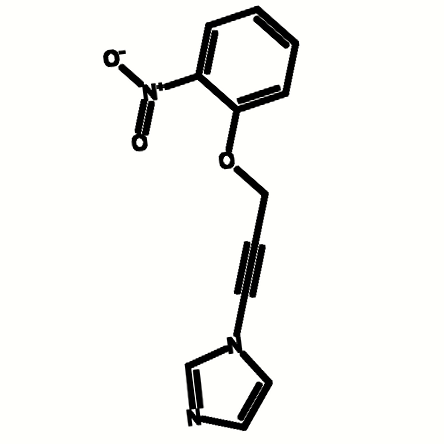 O=[N+]([O-])c1ccccc1OCC#Cn1ccnc1